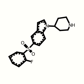 O=S(=O)(c1ccc2c(ccn2C2CCNCC2)c1)c1ccccc1F